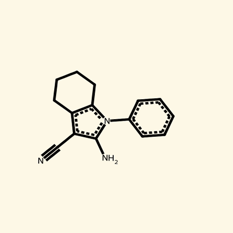 N#Cc1c2c(n(-c3ccccc3)c1N)CCCC2